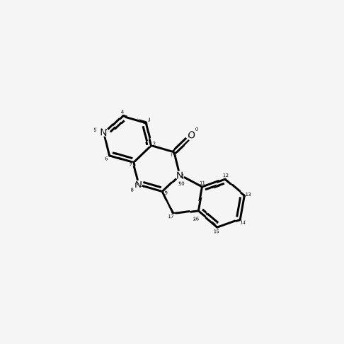 O=c1c2ccncc2nc2n1-c1ccccc1C2